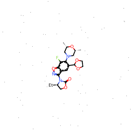 CC[C@@H]1COC(=O)N1c1noc2c(F)c(N3C[C@@H](C)O[C@@H](C)C3)c(C3OCCO3)cc12